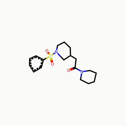 O=C(CC1CCCN(S(=O)(=O)c2ccccc2)C1)N1CCCCC1